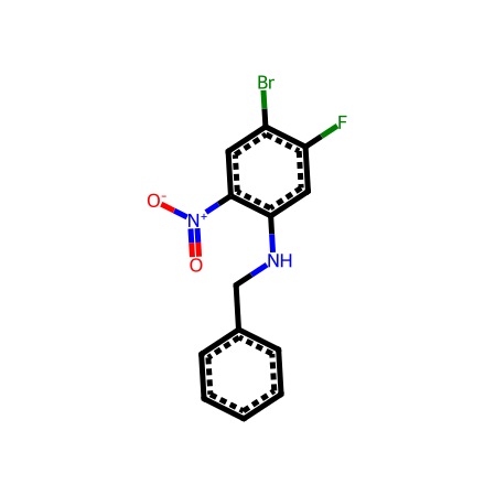 O=[N+]([O-])c1cc(Br)c(F)cc1NCc1ccccc1